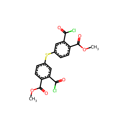 COC(=O)c1ccc(Sc2ccc(C(=O)OC)c(C(=O)Cl)c2)cc1C(=O)Cl